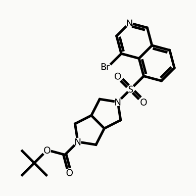 CC(C)(C)OC(=O)N1CC2CN(S(=O)(=O)c3cccc4cncc(Br)c34)CC2C1